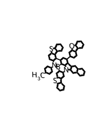 Cc1ccc(N2B3c4cc5sc6ccccc6c5cc4-n4c5cc6ccccc6cc5c5c(-c6ccc7c(c6)oc6ccccc67)cc(c3c54)-c3c2ccc2sc4ccccc4c32)cc1